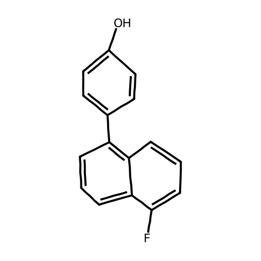 Oc1ccc(-c2cccc3c(F)cccc23)cc1